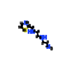 C[N]CCNCCNCc1nccs1